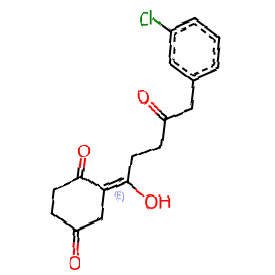 O=C1CCC(=O)/C(=C(/O)CCC(=O)Cc2cccc(Cl)c2)C1